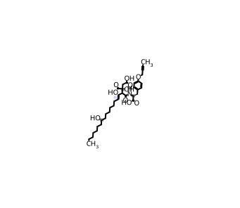 CC#CCOc1ccc(C[C@H](NC(=O)C(/C=C/CCCCCC[C@@H](O)CCCCCCC)[C@@](O)(CC(=O)O)C(=O)O)C(=O)O)cc1